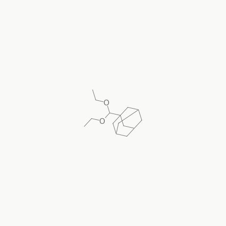 CCOC(OCC)C12CC3CC(CC(C3)C1)C2